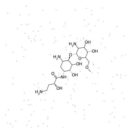 COCC1O[C@H](O[C@@H]2C(N)C[C@@H](NC(=O)[C@@H](O)CCN)[C@@H](O)C2O)C(N)C(O)[C@@H]1O